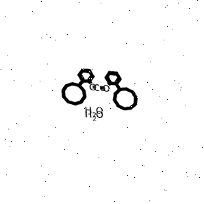 O.O.c1ccc(C2CCCCCCCCC2)c([O][Co][O]c2ccccc2C2CCCCCCCCC2)c1